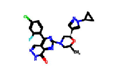 C[C@H]1CN(c2nc(-c3ccc(Cl)cc3F)c3cn[nH]c(=O)c3n2)C[C@H](c2cnn(C3CC3)c2)O1